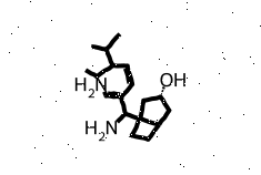 CCC(/C=C\C(=C/N)C(N)C12CCC1C[C@@H](O)C2)C(C)C